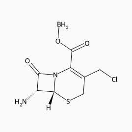 BOC(=O)C1=C(CCl)CS[C@@H]2[C@H](N)C(=O)N12